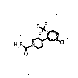 BC(=O)N1CCC(c2cc(Cl)ccc2C(F)(F)F)CC1